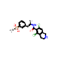 CC(=O)[C@H](Cc1cccc(S(C)(=O)=O)c1)NC(=O)c1c(Cl)cc2c(c1Cl)CCNC2